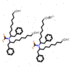 CCCCCCCCCCCCCCCCCC(Cc1ccccc1)N(C(=S)[S-])C(CCCCCCCCCCCCCCCCC)Cc1ccccc1.CCCCCCCCCCCCCCCCCC(Cc1ccccc1)N(C(=S)[S-])C(CCCCCCCCCCCCCCCCC)Cc1ccccc1.[Zn+2]